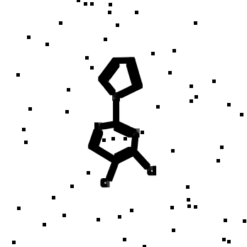 Clc1cnc(-n2cccc2)nc1Cl